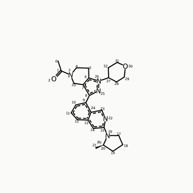 CC(=O)N1CCc2c(c(-c3cccc4cc(N5CCC[C@H]5C)ncc34)nn2C2CCOCC2)C1